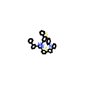 c1ccc(-c2cccc(-c3cc(-c4cccc5c4sc4c5ccc5c6ccccc6n(-c6ccccc6)c54)nc(-c4ccc5sc6ccccc6c5c4)n3)c2)cc1